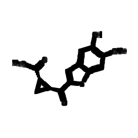 COC(=O)[C@H]1C[C@@H]1C(=O)c1cc2cc(O)c(OC)cc2s1